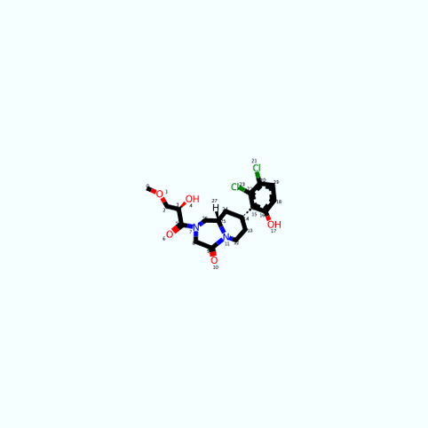 COC[C@@H](O)C(=O)N1CC(=O)N2CC[C@@H](c3c(O)ccc(Cl)c3Cl)C[C@H]2C1